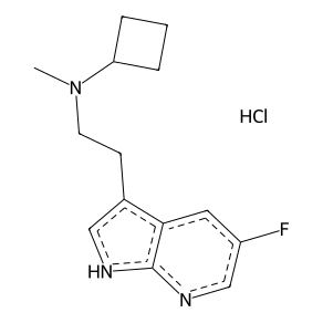 CN(CCc1c[nH]c2ncc(F)cc12)C1CCC1.Cl